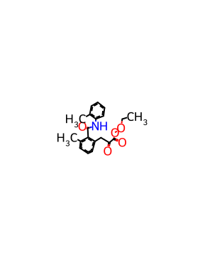 CCOOC(=O)C(=O)Cc1cccc(C)c1C(=O)Nc1ccccc1C